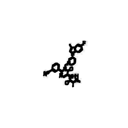 CN[C@@H](C)C(=O)Nc1cnc(-c2cccc(C#N)c2)n(CN2C=C(n3cc(C)c4cc(F)ccc43)C=CC2)c1=O